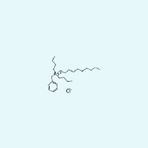 CCCCCCCCCC[As+](CCCC)(CCCC)Cc1ccccc1.[Cl-]